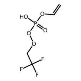 C=COP(=O)(O)OOCC(F)(F)F